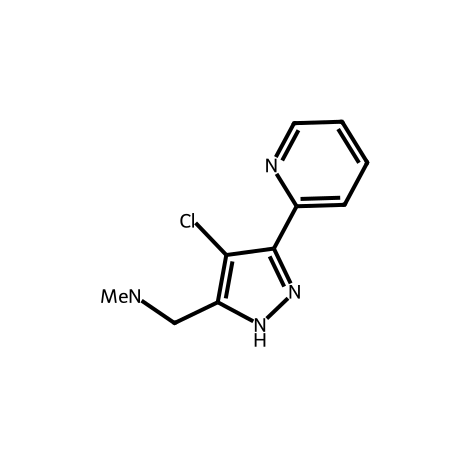 CNCc1[nH]nc(-c2ccccn2)c1Cl